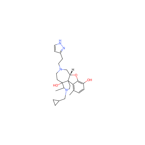 Cc1ccc(O)c2c1C13CCN(CC4CC4)C(C)C1(O)CCN(CCc1cc[nH]n1)C[C@@H]3O2